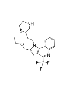 CCOCc1nc2c(C(F)(F)F)nc3ccccc3c2n1CCC1CNCCS1